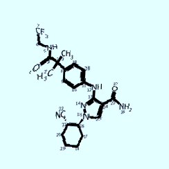 CC(C)(C(=O)NCC(F)(F)F)c1ccc(Nc2nn([C@H]3CCCC[C@@H]3C#N)cc2C(N)=O)cc1